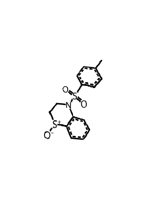 Cc1ccc(S(=O)(=O)N2CC[S+]([O-])c3ccccc32)cc1